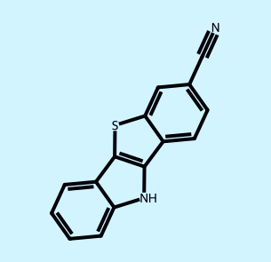 N#Cc1ccc2c(c1)sc1c3ccccc3[nH]c21